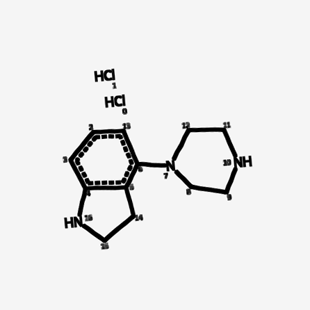 Cl.Cl.c1cc2c(c(N3CCNCC3)c1)CCN2